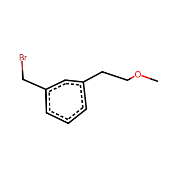 COCCc1cccc(CBr)c1